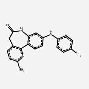 Nc1ncc2c(n1)-c1ccc(Nc3ccc(C(F)(F)F)cc3)cc1NC(=O)C2